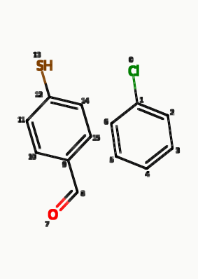 Clc1ccccc1.O=Cc1ccc(S)cc1